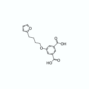 O=C(O)c1cc(OCCCCc2ccco2)cc(C(=O)O)c1